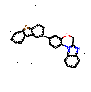 c1ccc2c(c1)nc1n2-c2ccc(-c3ccc4sc5ccccc5c4c3)cc2OC1